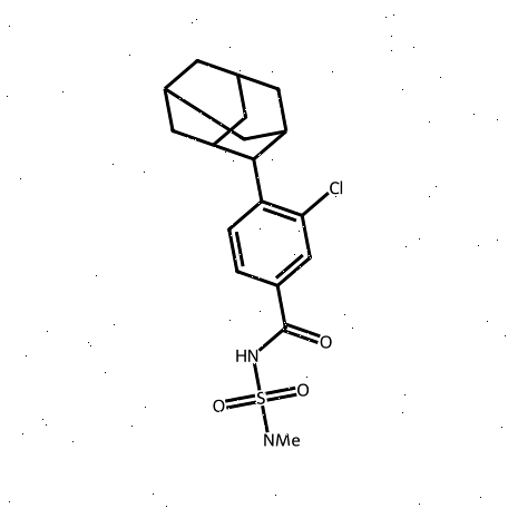 CNS(=O)(=O)NC(=O)c1ccc(C2C3CC4CC(C3)CC2C4)c(Cl)c1